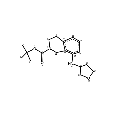 CC(C)(C)OC(=O)N1CCc2cccc(NC3CCOC3)c2C1